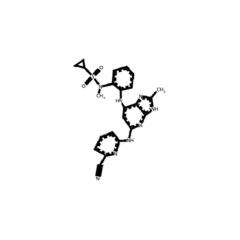 Cc1nc2c(Nc3ccccc3N(C)S(=O)(=O)C3CC3)cc(Nc3cccc(C#N)n3)nc2[nH]1